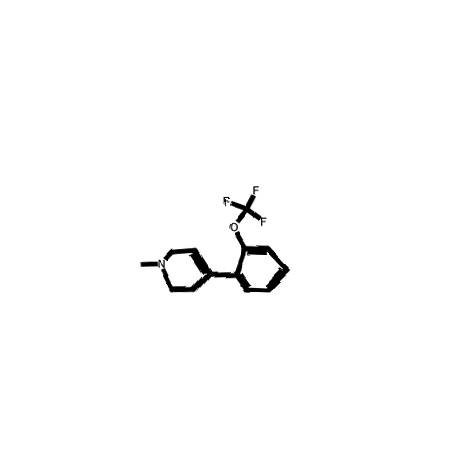 CN1CC=C(c2ccccc2OC(F)(F)F)CC1